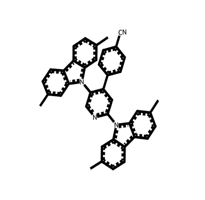 Cc1ccc2c3ccc(C)cc3n(-c3cc(-c4ccc(C#N)cc4)c(-n4c5cc(C)ccc5c5ccc(C)cc54)cn3)c2c1